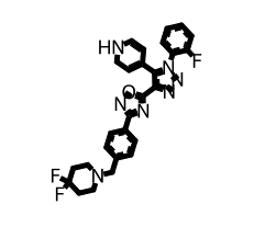 Fc1ccccc1-n1nnc(-c2nc(-c3ccc(CN4CCC(F)(F)CC4)cc3)no2)c1C1=CCNC=C1